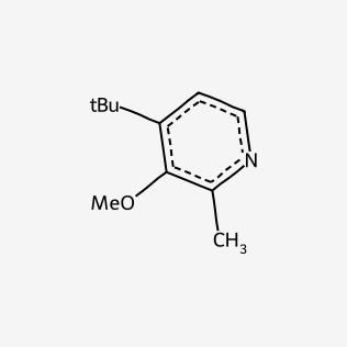 COc1c(C(C)(C)C)ccnc1C